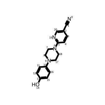 N#Cc1ccc(N2CCN(c3ccc(O)cc3)CC2)nc1